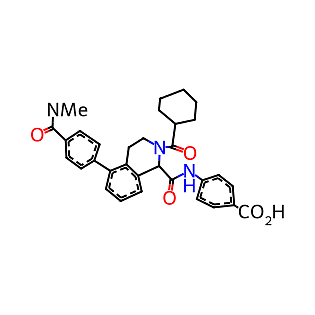 CNC(=O)c1ccc(-c2cccc3c2CCN(C(=O)C2CCCCC2)C3C(=O)Nc2ccc(C(=O)O)cc2)cc1